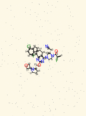 C=C(F)C(=O)N1CCN(c2nc(OC[C@@H]3CCCN3C3COC3)nc3c2CC[C@@]2(CCc4c(Cl)cccc42)[C@H]3F)C[C@@H]1CC#N